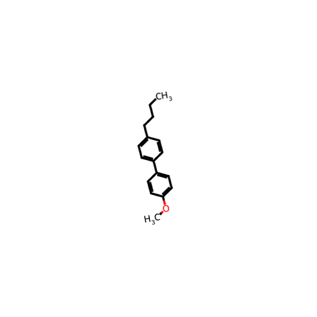 CCCCc1ccc(-c2ccc(OC)cc2)cc1